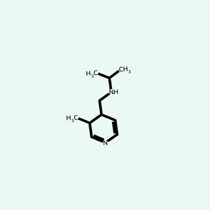 CC(C)NCC1C=CN=CC1C